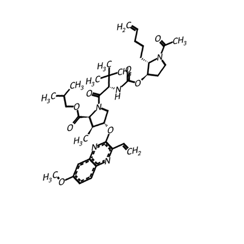 C=CCCC[C@H]1[C@H](OC(=O)N[C@H](C(=O)N2C[C@H](Oc3nc4cc(OC)ccc4nc3C=C)[C@@H](C)[C@H]2C(=O)OCC(C)C)C(C)(C)C)CCN1C(C)=O